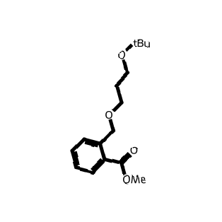 COC(=O)c1ccccc1COCCCOC(C)(C)C